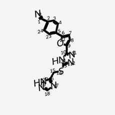 N#Cc1ccc(-c2ccc(-c3nnc(SCc4ncn[nH]4)[nH]3)o2)cc1